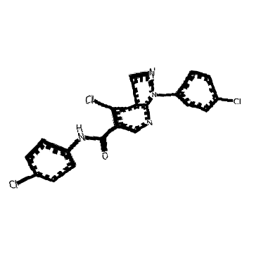 O=C(Nc1ccc(Cl)cc1)c1cnc2c(cnn2-c2ccc(Cl)cc2)c1Cl